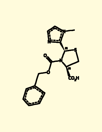 Cn1ccnc1[C@@H]1SC[C@@H](C(=O)O)N1C(=O)OCc1ccccc1